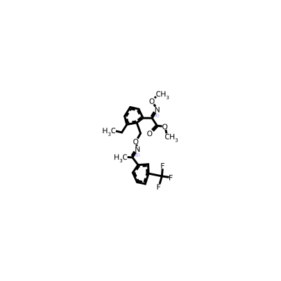 CCc1cccc(/C(=N\OC)C(=O)OC)c1CO/N=C(\C)c1cccc(C(F)(F)F)c1